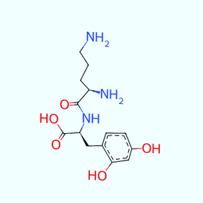 NCCC[C@@H](N)C(=O)N[C@@H](Cc1ccc(O)cc1O)C(=O)O